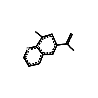 C=C(C)c1cc(C)c2ncccc2c1